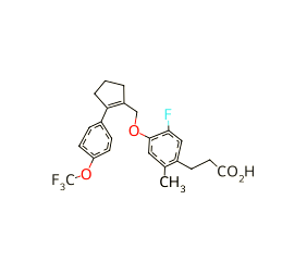 Cc1cc(OCC2=C(c3ccc(OC(F)(F)F)cc3)CCC2)c(F)cc1CCC(=O)O